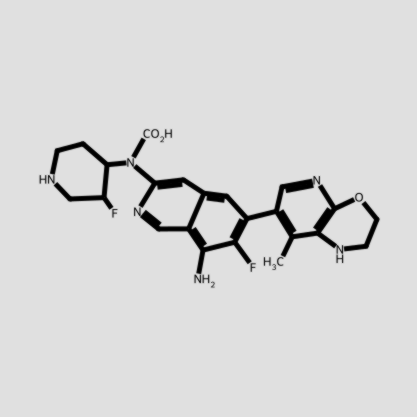 Cc1c(-c2cc3cc(N(C(=O)O)C4CCNCC4F)ncc3c(N)c2F)cnc2c1NCCO2